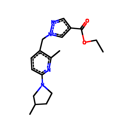 CCOC(=O)c1cnn(Cc2ccc(N3CCC(C)C3)nc2C)c1